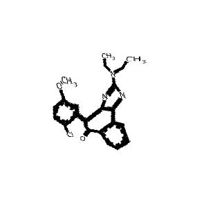 CCN(CC)C1=NC2=C(c3cc(OC)ccc3Cl)C(=O)c3ccccc3C2=N1